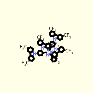 FC(F)(F)c1ccc2c(c1)c1cc(C(F)(F)F)ccc1n2-c1ccc(-c2nc(-c3ccccc3)nc(-c3ccc(-n4c5ccc(C(F)(F)F)cc5c5cc(C(F)(F)F)ccc54)cc3-n3c4ccc(C(F)(F)F)cc4c4cc(C(F)(F)F)ccc43)n2)c(-n2c3ccc(C(F)(F)F)cc3c3cc(C(F)(F)F)ccc32)c1